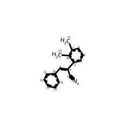 Cc1cccc(C(C#N)=Cc2ccccc2)c1C